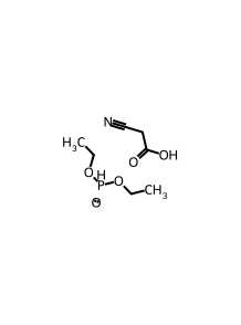 CCO[PH](=O)OCC.N#CCC(=O)O